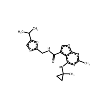 Cc1nc(NC2(C)CC2)c2c(C(=O)NCc3ncc(C(C)C)o3)coc2n1